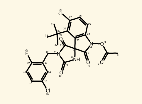 CC(=O)ON1C(=O)C2(NC(=O)N(Cc3cc(Cl)ccc3F)C2=O)c2c1ccc(Cl)c2C(C)(C)C